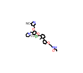 C=CC(=O)NCCCOc1cccc(-c2cccc(COc3cc(OCc4cncc(C#N)c4)c(CN4CCCC[C@H]4C(=O)O)cc3Cl)c2C)c1